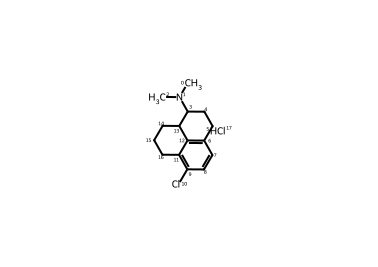 CN(C)C1CCc2ccc(Cl)c3c2C1CCC3.Cl